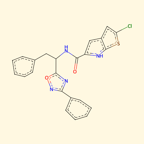 O=C(NC(Cc1ccccc1)c1nc(-c2ccccc2)no1)c1cc2cc(Cl)sc2[nH]1